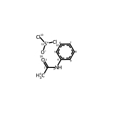 CC(=O)Nc1ccccc1.[O-][S+](Cl)Cl